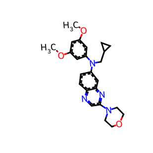 COc1cc(OC)cc(N(CC2CC2)c2ccc3ncc(N4CCOCC4)nc3c2)c1